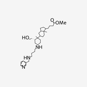 COC(=O)CCCC1CCC2CC(C3(C)CCC(NCCCCNCc4cccnc4)C[C@@H]3CCO)CCC12C